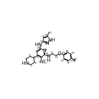 [C-]#[N+]c1c(C2CCNCC2)cc(Nc2cc(C)[nH]n2)nc1NCCOc1ccc(F)cc1